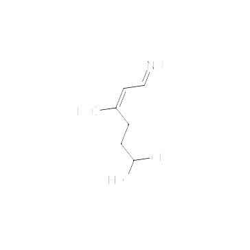 C/C(=C/C=N)CCC(C)C